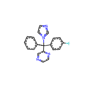 Fc1ccc(C(c2ccccc2)(c2cnccn2)n2ccnc2)cc1